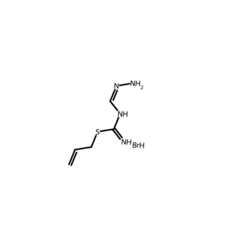 Br.C=CCSC(=N)N/C=N\N